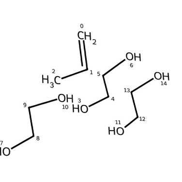 C=CC.OCCO.OCCO.OCCO